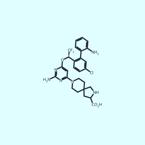 Nc1nc(O[C@H](c2ccc(Cl)cc2-c2ccccc2N)C(F)(F)F)cc(N2CCC3(CC2)CNC(C(=O)O)C3)n1